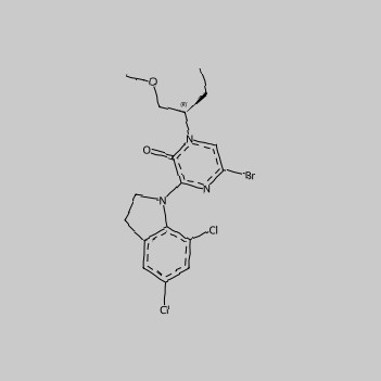 CC[C@H](COC)n1cc(Br)nc(N2CCc3cc(Cl)cc(Cl)c32)c1=O